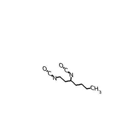 CCCCC(CCN=C=O)N=C=O